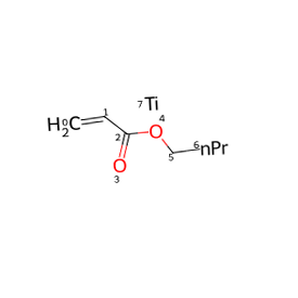 C=CC(=O)OCCCC.[Ti]